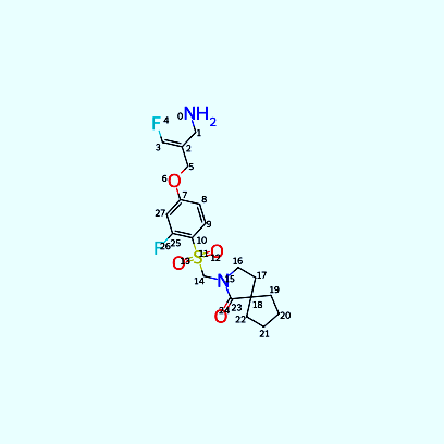 NCC(=CF)COc1ccc(S(=O)(=O)CN2CCC3(CCCC3)C2=O)c(F)c1